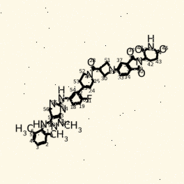 Cc1cccc(C)c1Nc1nn(C)c2nc(Nc3ccc(F)c(C4=CCN(C(=O)C5CN(c6ccc7c(c6)C(=O)N(C6CCC(=O)NC6=O)C7=O)C5)CC4)c3)ncc12